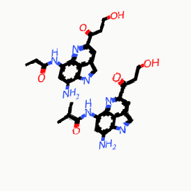 CC(C)C(=O)Nc1cc(N)c2c3c(cc(C(=O)CCO)nc13)C=N2.CCC(=O)Nc1cc(N)c2c3c(cc(C(=O)CCO)nc13)C=N2